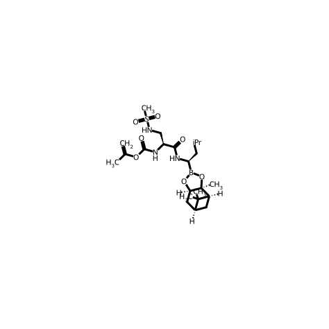 C=C(C)OC(=O)N[C@@H](CNS(C)(=O)=O)C(=O)N[C@@H](CC(C)C)B1O[C@@H]2C[C@@H]3C[C@@H](C3(C)C)[C@]2(C)O1